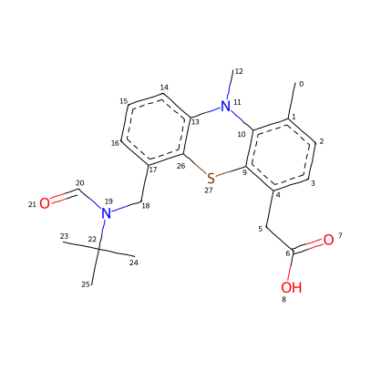 Cc1ccc(CC(=O)O)c2c1N(C)c1cccc(CN(C=O)C(C)(C)C)c1S2